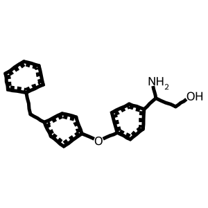 NC(CO)c1ccc(Oc2ccc(Cc3ccccc3)cc2)cc1